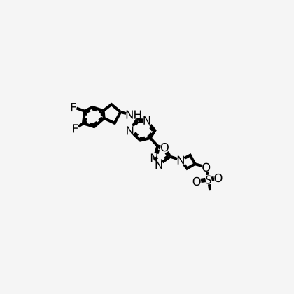 CS(=O)(=O)OC1CN(c2nnc(-c3cnc(NC4Cc5cc(F)c(F)cc5C4)nc3)o2)C1